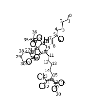 CCCCCC(=O)C=C[C@@H]1[C@@H](CCCCCC(C(=O)OC)=C(Cl)Cl)[C@@H](OC2CCCCO2)[C@H]2OC(C)(C)O[C@@H]12